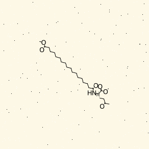 COC(=O)CCCCCCCCCCCCCCCCC(=O)N[C@@H](CCC(C)=O)C(=O)OC